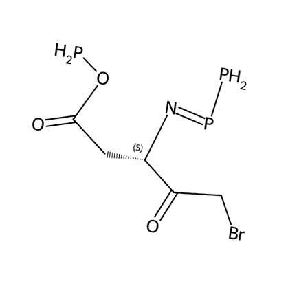 O=C(C[C@H](N=PP)C(=O)CBr)OP